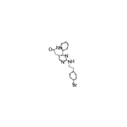 O=C1Cc2cnc(NCCc3ccc(Br)cc3)nc2-c2ccccc2N1